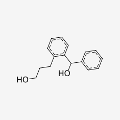 OCCCc1ccccc1C(O)c1ccccc1